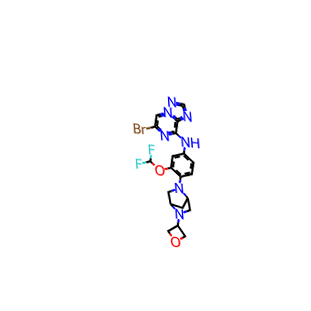 FC(F)Oc1cc(Nc2nc(Br)cn3ncnc23)ccc1N1CC2CC1CN2C1COC1